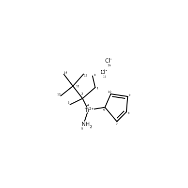 CC[C](C)([Ti+2]([NH2])[CH]1C=CC=C1)C(C)(C)C.[Cl-].[Cl-]